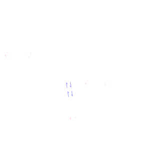 C=CC(=O)OCc1ccc(/N=N/c2c(O)ccc(C(=O)c3ccccc3)c2O)cc1